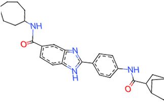 O=C(NC1CCCCCC1)c1ccc2[nH]c(-c3ccc(NC(=O)C4CC5CCC4C5)cc3)nc2c1